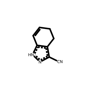 N#Cc1n[nH]c2c1CCC=C2